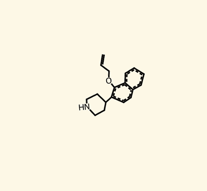 C=CCOc1c(C2CCNCC2)ccc2ccccc12